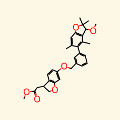 COC(=O)CC1COc2cc(OCc3cccc(-c4c(C)cc5c(c4C)C(OC)C(C)(C)O5)c3)ccc21